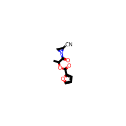 CC(OC(=O)c1ccco1)C(=O)N1CC1C#N